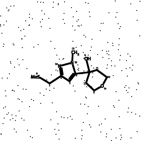 CSCc1cc(C2(O)CCOCC2)n(C)n1